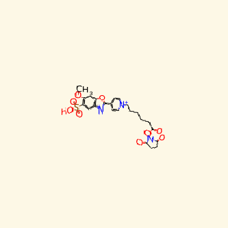 COc1cc2oc(-c3cc[n+](CCCCCC(=O)ON4C(=O)CCC4=O)cc3)nc2cc1S(=O)(=O)O